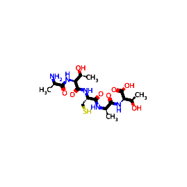 C[C@H](N)C(=O)N[C@H](C(=O)N[C@@H](CS)C(=O)N[C@@H](C)C(=O)N[C@H](C(=O)O)[C@@H](C)O)[C@@H](C)O